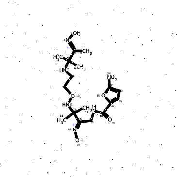 C/C(=N\O)C(C)(C)NCCONC(C)(C)/C(CNC(=O)c1ccc([N+](=O)[O-])o1)=N/O